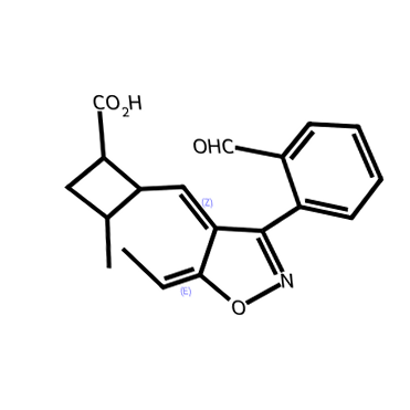 C/C=c1/onc(-c2ccccc2C=O)/c1=C/C1C(C)CC1C(=O)O